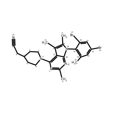 Cc1nc(N2CCC(CC#N)CC2)c2c(C)c(C)n(-c3c(C)cc(Br)cc3Br)c2n1